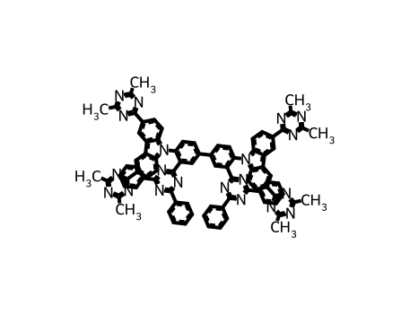 Cc1nc(C)nc(-c2ccc3c(c2)c2cc(-c4nc(C)nc(C)n4)ccc2n3-c2ccc(-c3ccc(-n4c5ccc(-c6nc(C)nc(C)n6)cc5c5cc(-c6nc(C)nc(C)n6)ccc54)c(-c4nc(-c5ccccc5)nc(-c5ccccc5)n4)c3)cc2-c2nc(-c3ccccc3)nc(-c3ccccc3)n2)n1